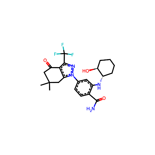 CC1(C)CC(=O)c2c(C(F)(F)F)nn(-c3ccc(C(N)=O)c(N[C@H]4CCCC[C@@H]4O)c3)c2C1